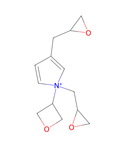 C1=C[N+](CC2CO2)(C2COC2)C=C1CC1CO1